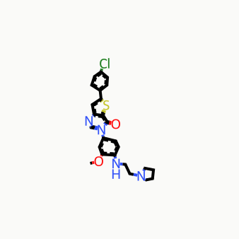 COc1cc(-n2cnc3cc(-c4ccc(Cl)cc4)sc3c2=O)ccc1NCCN1CCCC1